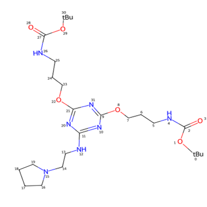 CC(C)(C)OC(=O)NCCCOc1nc(NCCN2CCCC2)nc(OCCCNC(=O)OC(C)(C)C)n1